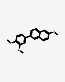 COc1ccc2cc(-c3ccc(OC)c(OC)c3)ccc2c1